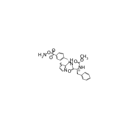 COC(=O)N[C@@H](Cc1ccccc1)C(=O)N[C@@H](Cc1ccc(S(=O)(=O)ON)cc1)c1nccs1